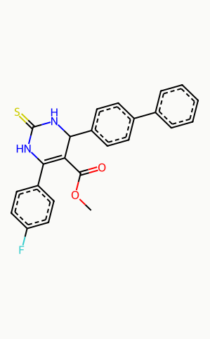 COC(=O)C1=C(c2ccc(F)cc2)NC(=S)NC1c1ccc(-c2ccccc2)cc1